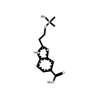 COC(=O)c1ccc2[nH]c(CCO[Si](C)(C)C(C)(C)C)nc2c1